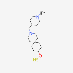 CC(C)N1CCC(CN2CCC3(CCC(OS)CC3)CC2)CC1